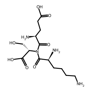 NCCCC[C@H](N)C(=O)N(C(=O)[C@@H](N)CCC(=O)O)[C@@H](CO)C(=O)O